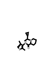 Cc1csc(C)c1NC(=O)C1CCCCN1C(C)C1CC1